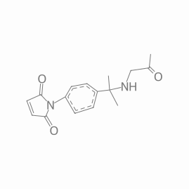 CC(=O)CNC(C)(C)c1ccc(N2C(=O)C=CC2=O)cc1